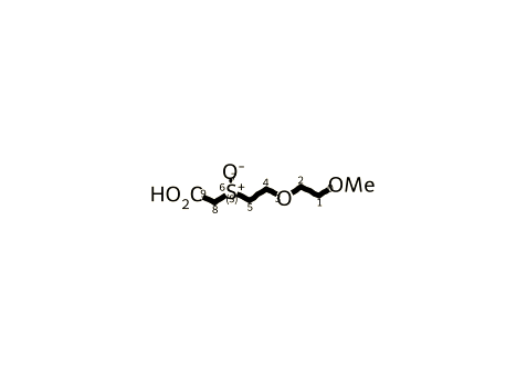 COCCOCC[S@@+]([O-])CC(=O)O